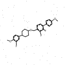 COc1ccc(-c2ccc(COC3CCC(c4ccc(OC)c(F)c4)CC3)c(F)c2F)cc1